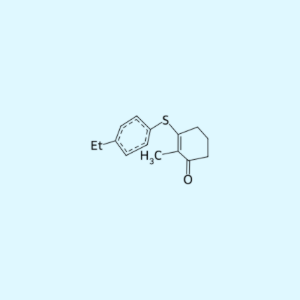 CCc1ccc(SC2=C(C)C(=O)CCC2)cc1